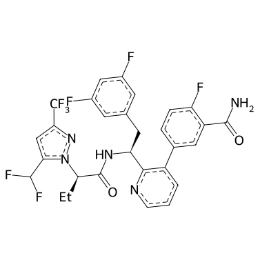 CC[C@H](C(=O)N[C@@H](Cc1cc(F)cc(F)c1)c1ncccc1-c1ccc(F)c(C(N)=O)c1)n1nc(C(F)(F)F)cc1C(F)F